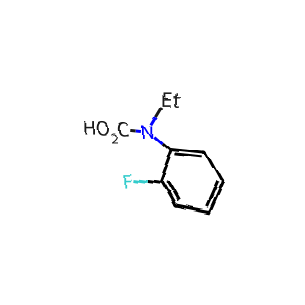 CCN(C(=O)O)c1ccccc1F